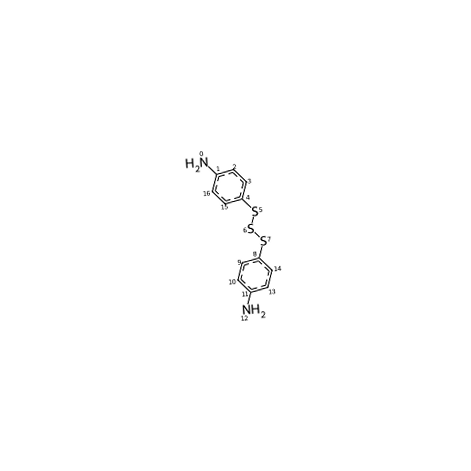 Nc1ccc(SSSc2ccc(N)cc2)cc1